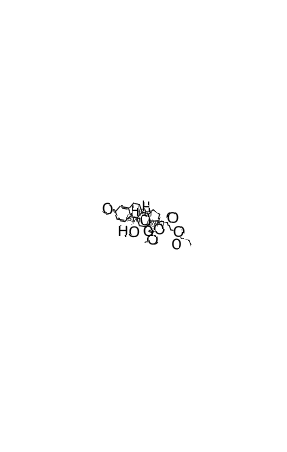 CCC(=O)OCC(=O)[C@@]1(OC(=O)OC)CC[C@H]2[C@@H]3CCC4=CC(=O)C=C[C@]4(C)[C@@]3(Cl)C(O)C[C@@]21C